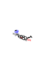 C=C(Cn1nccn1)[C@H]1CC[C@H]2[C@@H]3CC[C@@H]4C[C@](O)(C#CC5CC5)CC[C@@H]4[C@H]3CC[C@]12C